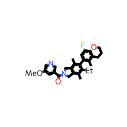 CCc1c(C)c2c(c(C)c1-c1cc(F)c3c(c1C)CCCO3)CN(C(=O)c1cncc(OC)c1)C2